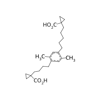 Cc1cc(CCCCC2(C(=O)O)CC2)c(C)cc1CCCCCC1(C(=O)O)CC1